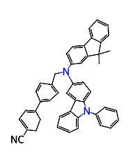 CC1(C)c2ccccc2-c2ccc(N(Cc3ccc(C4=CC=C(C#N)CC4)cc3)c3ccc4c(c3)c3ccccc3n4-c3ccccc3)cc21